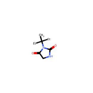 CCC(C)(CC)N1C(=O)CNC1=O